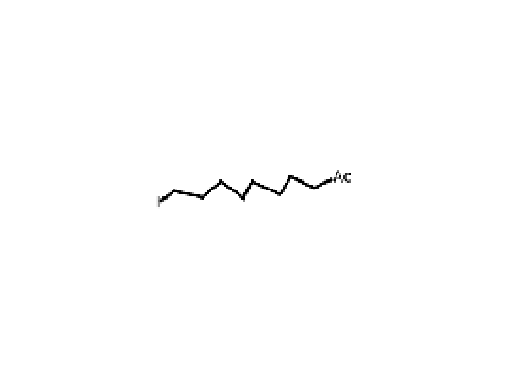 CC(=O)CCCCCCCCI